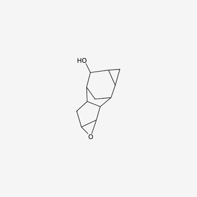 OC1C2CC2C2CC1C1CC3OC3C12